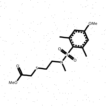 COC(=O)CSCCN(C)S(=O)(=O)c1c(C)cc(OC)cc1C